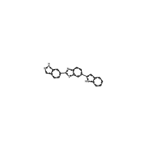 c1ccc2[nH]c(-c3ccc4nc(-c5ccc6cn[nH]c6c5)sc4c3)cc2c1